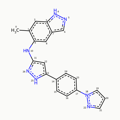 Cc1cc2[nH]ncc2cc1Nc1cc(-c2ccc(-n3cccn3)cc2)[nH]n1